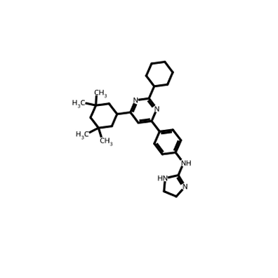 CC1(C)CC(c2cc(-c3ccc(NC4=NCCN4)cc3)nc(C3CCCCC3)n2)CC(C)(C)C1